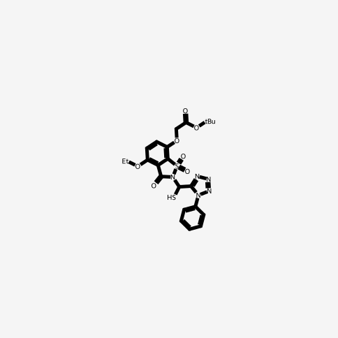 CCOc1ccc(OCC(=O)OC(C)(C)C)c2c1C(=O)N(C(S)c1nnnn1-c1ccccc1)S2(=O)=O